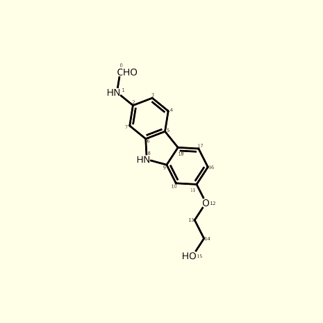 O=CNc1ccc2c(c1)[nH]c1cc(OCCO)ccc12